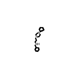 c1ccc(CNCCCN2CCN(c3ccccc3)CC2)cc1